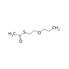 [CH2]CCOCCSC(C)=O